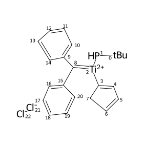 CC(C)(C)[PH][Ti+2]([C]1=CC=CC1)=[C](c1ccccc1)c1ccccc1.[Cl-].[Cl-]